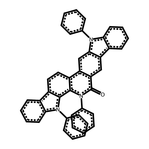 O=c1c2cc3c4ccccc4n(-c4ccccc4)c3cc2c2ccc3c4ccccc4n(-c4ccccc4)c3c2n1-c1ccccc1